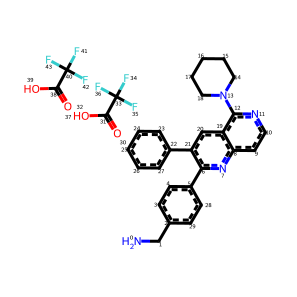 NCc1ccc(-c2nc3ccnc(N4CCCCC4)c3cc2-c2ccccc2)cc1.O=C(O)C(F)(F)F.O=C(O)C(F)(F)F